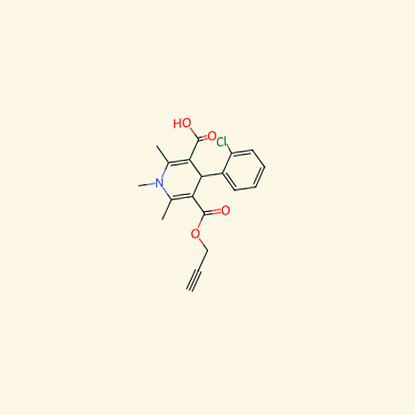 C#CCOC(=O)C1=C(C)N(C)C(C)=C(C(=O)O)C1c1ccccc1Cl